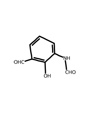 O=[C]c1cccc(NC=O)c1O